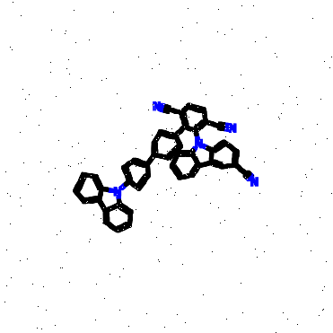 N#Cc1ccc2c(c1)c1ccccc1n2-c1c(C#N)ccc(C#N)c1-c1ccc(-c2ccc(-n3c4ccccc4c4ccccc43)cc2)cc1